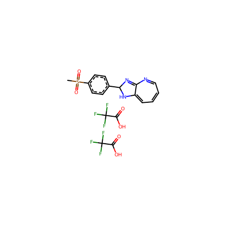 CS(=O)(=O)c1ccc(C2N=C3N=CC=CC=C3N2)cc1.O=C(O)C(F)(F)F.O=C(O)C(F)(F)F